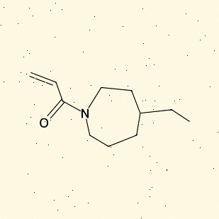 C=CC(=O)N1CCCC(CC)CC1